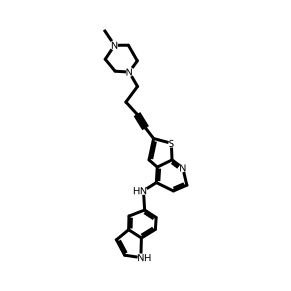 CN1CCN(CCC#Cc2cc3c(Nc4ccc5[nH]ccc5c4)ccnc3s2)CC1